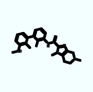 C=C(Nc1cccc(-c2cccc(NC)c2C)c1C)c1nc2c(n1C)CCN(C)C2